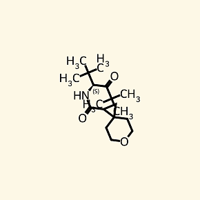 CC(C)(C)C(=O)[C@@H](NC(=O)C1CC12CCOCC2)C(C)(C)C